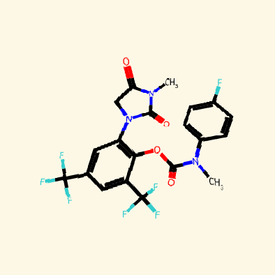 CN1C(=O)CN(c2cc(C(F)(F)F)cc(C(F)(F)F)c2OC(=O)N(C)c2ccc(F)cc2)C1=O